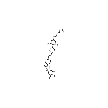 C/C=C/COc1cc(F)c(C2CCC(/C=C/C3CCC(C(F)(F)Oc4cc(F)c(F)c(F)c4)CC3)CC2)c(F)c1